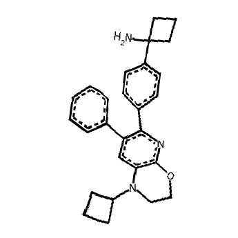 NC1(c2ccc(-c3nc4c(cc3-c3ccccc3)N(C3CCC3)CCO4)cc2)CCC1